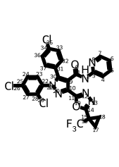 O=C(Nc1ccccn1)c1c(-c2nnc(C3(C(F)(F)F)CC3)o2)nn(-c2ccc(Cl)cc2Cl)c1-c1ccc(Cl)cc1